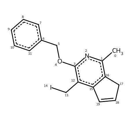 Cc1nc(OCc2ccccc2)c(CI)c2c1CC=C2